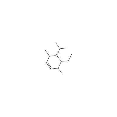 CCC1C(C)C=CC(C)N1C(C)C